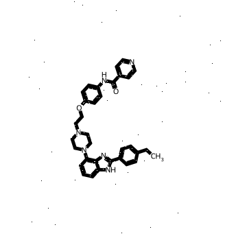 CCc1ccc(-c2nc3c(N4CCN(CCOc5ccc(NC(=O)c6ccncc6)cc5)CC4)cccc3[nH]2)cc1